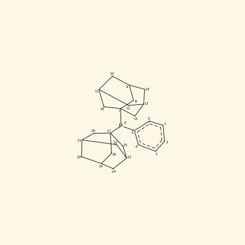 [c]1ccccc1P(C12CC3CC(CC(C3)C1)C2)C12CC3CC(CC(C3)C1)C2